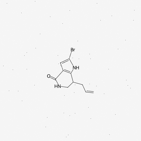 C=CCC1CNC(=O)c2cc(Br)[nH]c21